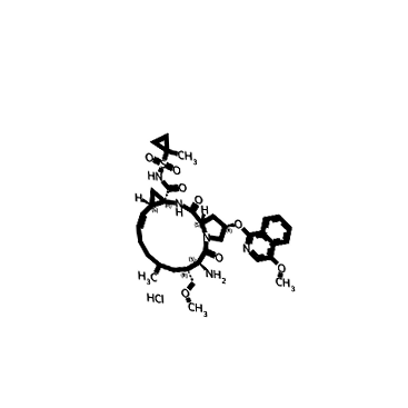 COC[C@@H]1CC(C)CCC=C[C@@H]2C[C@@]2(C(=O)NS(=O)(=O)C2(C)CC2)NC(=O)[C@@H]2C[C@@H](Oc3ncc(OC)c4ccccc34)CN2C(=O)[C@H]1N.Cl